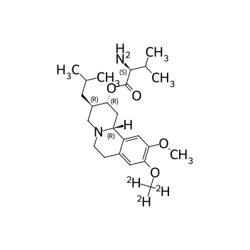 [2H]C([2H])([2H])Oc1cc2c(cc1OC)[C@H]1C[C@@H](OC(=O)[C@@H](N)C(C)C)[C@H](CC(C)C)CN1CC2